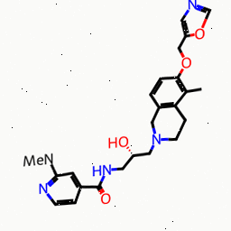 CNc1cc(C(=O)NC[C@H](O)CN2CCc3c(ccc(OCc4cnco4)c3C)C2)ccn1